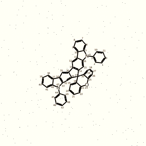 c1ccc(-n2c3ccccc3c3cc4c(cc32)C2(c3ccccc3Oc3ccccc32)c2cc3c(cc2-4)c2ccccc2n3-c2ccccc2)cc1